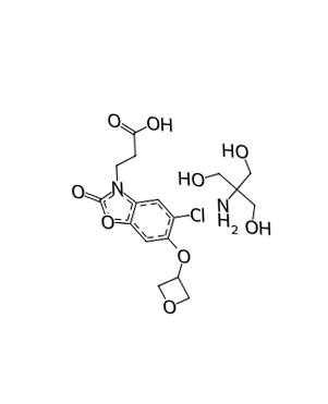 NC(CO)(CO)CO.O=C(O)CCn1c(=O)oc2cc(OC3COC3)c(Cl)cc21